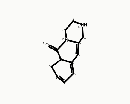 O=C1C2CC=CC=C2C=C2CNCCN12